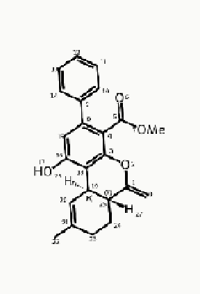 C=C1Oc2c(C(=O)OC)c(-c3ccccc3)cc(O)c2[C@@H]2C=C(C)CC[C@@H]12